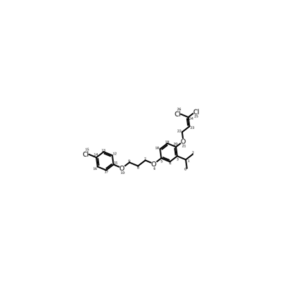 CC(C)c1cc(OCCCOc2ccc(Cl)cc2)ccc1OCC=C(Cl)Cl